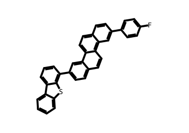 Fc1ccc(-c2ccc3ccc4c5cc(-c6cccc7c6sc6ccccc67)ccc5ccc4c3c2)cc1